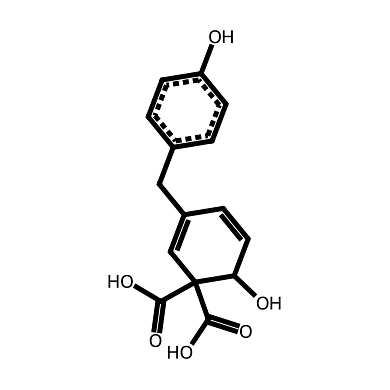 O=C(O)C1(C(=O)O)C=C(Cc2ccc(O)cc2)C=CC1O